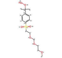 COCCOCOCCS(=O)(=O)c1ccc(C(C)(C)OO)cc1